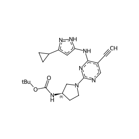 C#Cc1cnc(N2CC[C@@H](NC(=O)OC(C)(C)C)C2)nc1Nc1cc(C2CC2)n[nH]1